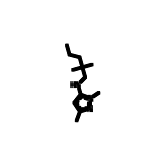 CCCC(C)(C)CNc1cc(C)nn1C